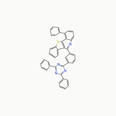 c1ccc(-c2nc(-c3ccccc3)nc(-c3cccc(-c4nc5cccc(-c6ccccc6)c5c5sc6ccccc6c45)c3)n2)cc1